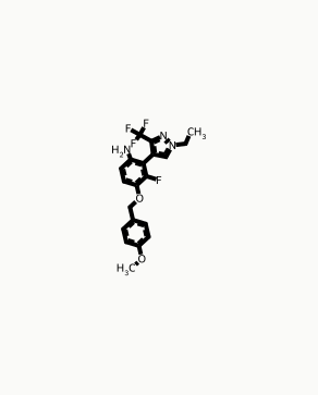 CCn1cc(-c2c(N)ccc(OCc3ccc(OC)cc3)c2F)c(C(F)(F)F)n1